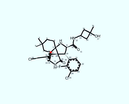 CC1(C)CCC2(CC1)N[C@@H](C(=O)NC1CC(C)(O)C1)[C@H](c1cccc(Cl)c1F)[C@]21C(=O)Nc2cc(Cl)ccc21